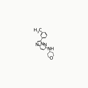 Cc1cccc(-c2cnc3ccc(NC4CCOCC4)nn23)c1